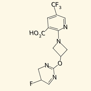 O=C(O)c1cc(C(F)(F)F)cnc1N1CC(OC2=NCC(F)C=N2)C1